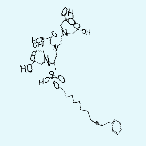 O=C(O)CN(CCN(CC(=O)O)CC(COP(=O)(O)OCCCCCCCCCCc1ccccc1)N(CC(=O)O)CC(=O)O)CC(=O)O